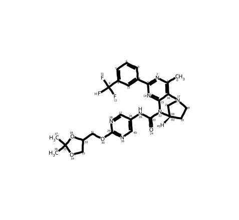 Cc1nc(-c2cccc(C(F)(F)F)c2)nc2c1N1CC[C@@H](C1)N2C(=O)Nc1cnc(OCC2COC(C)(C)O2)nc1